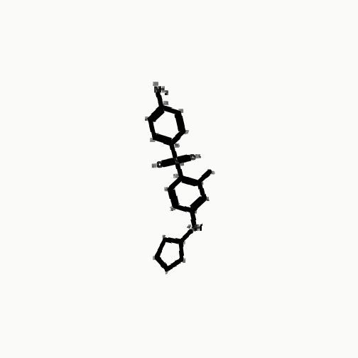 Cc1cc(NC2CCCC2)ccc1S(=O)(=O)c1ccc(N)cc1